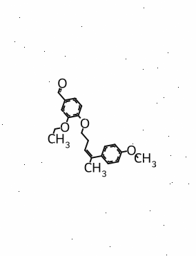 CCOc1cc(C=O)ccc1OCCC=C(C)c1ccc(OC)cc1